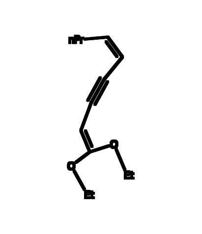 CCC/C=C\C#CC=C(OCC)OCC